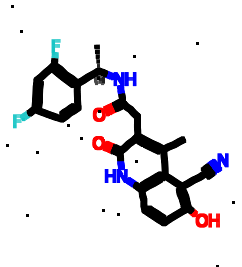 Cc1c(CC(=O)N[C@@H](C)c2ccc(F)cc2F)c(=O)[nH]c2ccc(O)c(C#N)c12